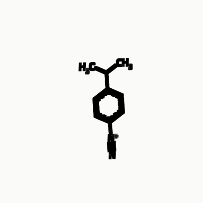 CC(C)c1ccc([N+]#N)cc1